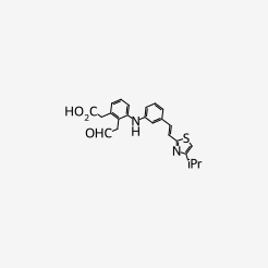 CC(C)c1csc(C=Cc2cccc(Nc3cccc(CC(=O)O)c3CC=O)c2)n1